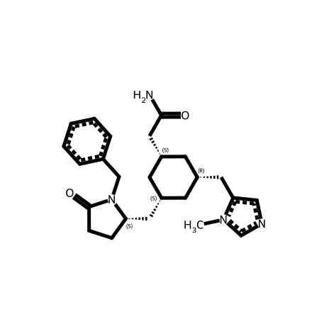 Cn1cncc1C[C@H]1C[C@@H](CC(N)=O)C[C@@H](C[C@@H]2CCC(=O)N2Cc2ccccc2)C1